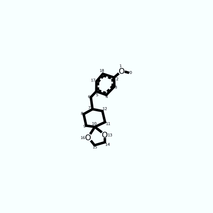 COc1ccc(CC2CCC3(CC2)OCCO3)cc1